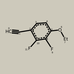 C#Cc1ccc(OCC)c(F)c1F